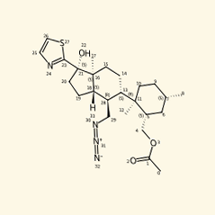 CC(=O)OC[C@H]1C[C@@H](C)CC[C@]1(C)[C@H]1CC[C@@]2(C)[C@@H](CC[C@@]2(O)c2nccs2)[C@@H]1CN=[N+]=[N-]